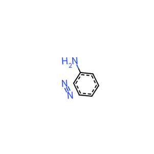 N#N.Nc1ccccc1